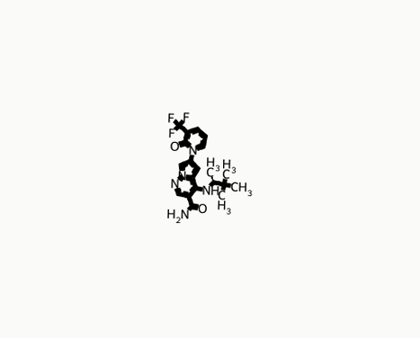 C[C@@H](Nc1c(C(N)=O)cnn2cc(-n3cccc(C(F)(F)F)c3=O)cc12)C(C)(C)C